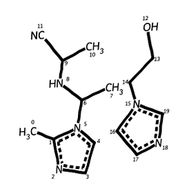 Cc1nccn1C(C)NC(C)C#N.OCCn1ccnc1